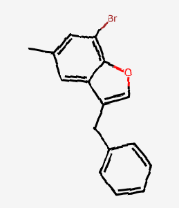 Cc1cc(Br)c2occ(Cc3ccccc3)c2c1